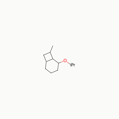 CC(C)OC1CCCC2CC(C)C21